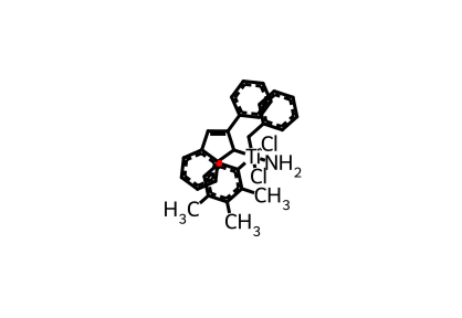 Cc1cc[c]([Ti]([NH2])([Cl])([Cl])([CH2]c2ccccc2)[CH]2C(c3ccccc3)=Cc3ccccc32)c(C)c1C